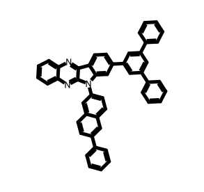 c1ccc(-c2cc(-c3ccccc3)cc(-c3ccc4c5nc6ccccc6nc5n(-c5ccc6cc(-c7ccccc7)ccc6c5)c4c3)c2)cc1